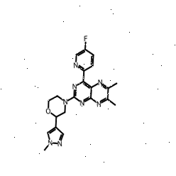 Cc1nc2nc(N3CCOC(c4cnn(C)c4)C3)nc(-c3ccc(F)cn3)c2nc1C